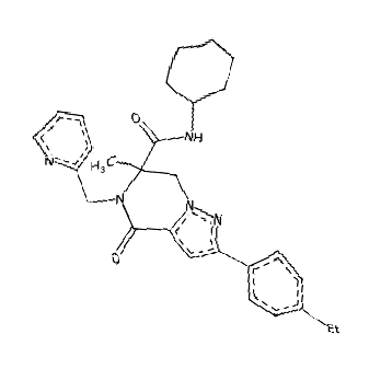 CCc1ccc(-c2cc3n(n2)CC(C)(C(=O)NC2CCCCC2)N(Cc2ccccn2)C3=O)cc1